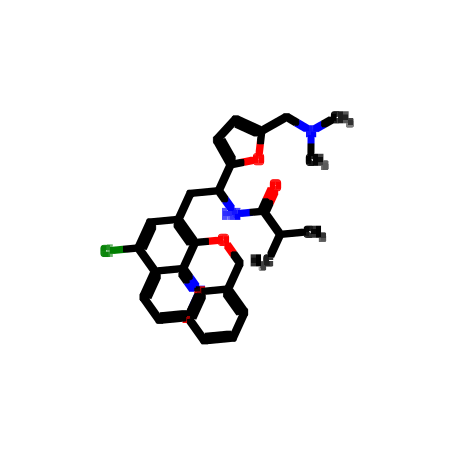 CC(C)C(=O)NC(Cc1cc(Cl)c2cccnc2c1OCc1ccccc1)c1ccc(CN(C)C)o1